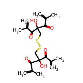 C=C(C)C(=O)C(O)(CSSCC(O)(C(=O)C(=C)C)C(=O)C(=C)C)C(=O)C(=C)C